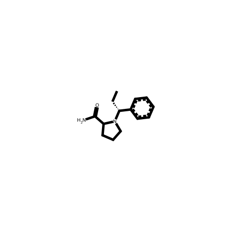 CC[C@H](c1ccccc1)N1CCCC1C(N)=O